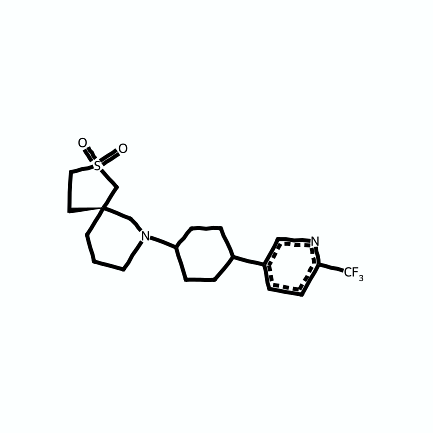 O=S1(=O)CC[C@@]2(CCCN(C3CCC(c4ccc(C(F)(F)F)nc4)CC3)C2)C1